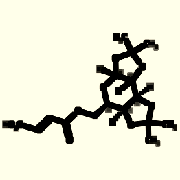 CC1(C)O[C@H]2[C@@H](O1)[C@@H](COC(=O)C=CC(=O)O)O[C@@H]1OC(C)(C)O[C@@H]12